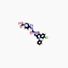 O=C(NCc1cn(-c2ccccc2)c2cc(Cl)ccc2c1=O)NC1CCN(C(=O)O)CC1